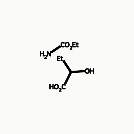 CCC(O)C(=O)O.CCOC(N)=O